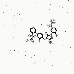 CCCCC(=O)Nc1ccc(Br)c(-n2nc(CC)n(Cc3ccc(-c4ccccc4S(=O)(=O)NC(C)(C)C)cc3F)c2=O)c1